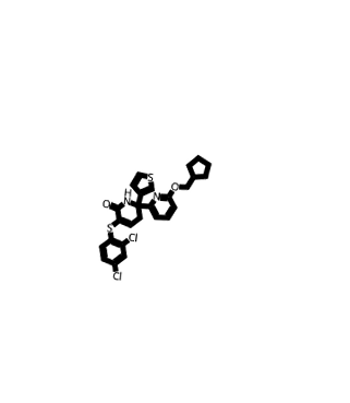 O=C1NC(c2ccsc2)(c2cccc(OCC3CCCC3)n2)C[C]=C1Sc1ccc(Cl)cc1Cl